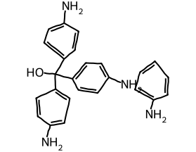 Nc1ccc(C(O)(c2ccc(N)cc2)c2ccc(N)cc2)cc1.Nc1ccccc1